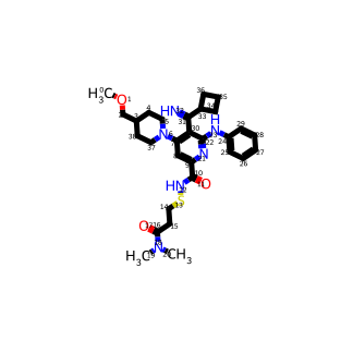 COCC1CCN(c2cc(C(=O)NSCCC(=O)N(C)C)nc(Nc3ccccc3)c2C(=N)C2CCC2)CC1